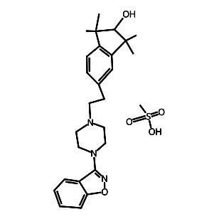 CC1(C)c2ccc(CCN3CCN(c4noc5ccccc45)CC3)cc2C(C)(C)C1O.CS(=O)(=O)O